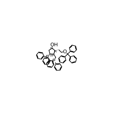 O[C@H]1C[C@H](P(c2ccccc2)c2ccccc2)[C@H](CP(c2ccccc2)c2ccccc2)[C@H]1CCOC(c1ccccc1)(c1ccccc1)c1ccccc1